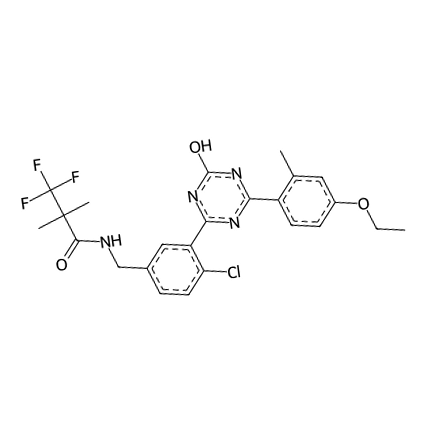 CCOc1ccc(-c2nc(O)nc(-c3cc(CNC(=O)C(C)(C)C(F)(F)F)ccc3Cl)n2)c(C)c1